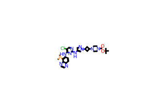 CP(C)c1c(Nc2nc(Nc3cnn(C4CC(N5CCN(C(=O)OC(C)(C)C)CC5)C4)c3)ncc2Cl)ccc2nccnc12